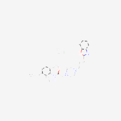 COc1ccc(C(C)C)c(NC(=O)CN2CCN(CCSc3nc4ccccc4o3)CC2)c1C(C)C.Cl.Cl